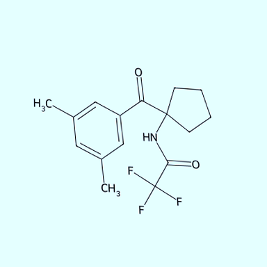 Cc1cc(C)cc(C(=O)C2(NC(=O)C(F)(F)F)CCCC2)c1